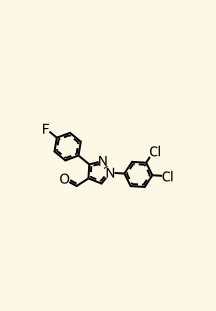 O=Cc1cn(-c2ccc(Cl)c(Cl)c2)nc1-c1ccc(F)cc1